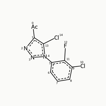 CC(=O)c1nnn(-c2cccc(Cl)c2F)c1Cl